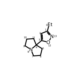 CCc1cc(C23CCCN2CCC3)on1